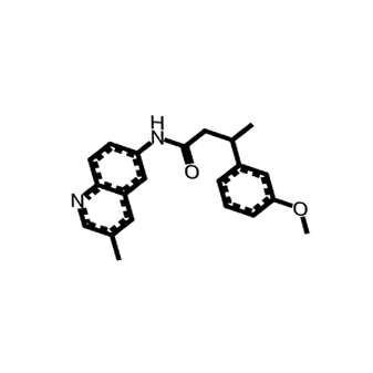 COc1cccc(C(C)CC(=O)Nc2ccc3ncc(C)cc3c2)c1